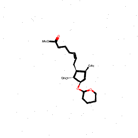 COC(=O)CCC/C=C\C[C@@H]1[C@@H](C=O)[C@H](OC2CCCCO2)C[C@@H]1OC(C)=O